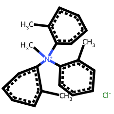 Cc1ccccc1[N+](C)(c1ccccc1C)c1ccccc1C.[Cl-]